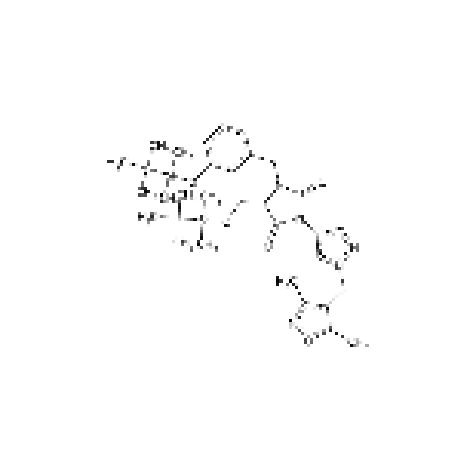 Cc1noc(C)c1Cn1cc(N2C(=O)C(CO[Si](C)(C)C(C)(C)C)N(Cc3cccc(O[Si](C)(C)C(C)(C)C)c3)C2=O)cn1